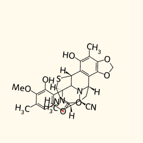 COc1c(C)cc2c(c1O)[C@H]1C3[C@@H]4SCC(N)C(=O)OC[C@@H](c5c6c(c(C)c(O)c54)OCO6)N3[C@@H](C#N)[C@H](C2)N1C